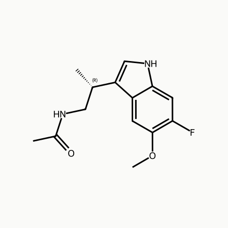 COc1cc2c([C@@H](C)CNC(C)=O)c[nH]c2cc1F